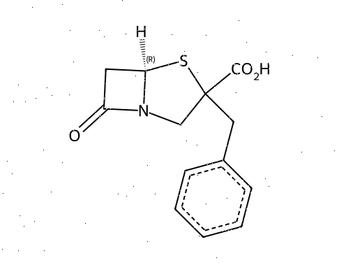 O=C1C[C@H]2SC(Cc3ccccc3)(C(=O)O)CN12